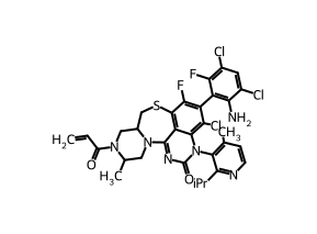 C=CC(=O)N1CC2CSc3c(F)c(-c4c(N)c(Cl)cc(Cl)c4F)c(Cl)c4c3c(nc(=O)n4-c3c(C)ccnc3C(C)C)N2CC1C